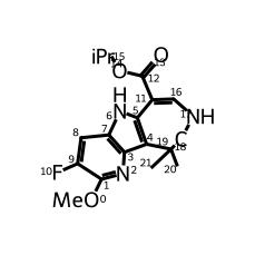 COc1nc2c3c([nH]c2cc1F)C(C(=O)OC(C)C)=CNCC3(C)C